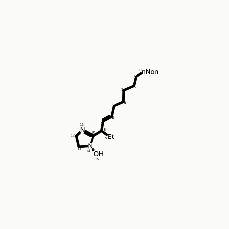 CCCCCCCCCCCCCCC=CC(CC)C1=NCCN1O